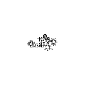 CC1CCC(C2=C(c3cc(-c4ccccc4)sc3C(=O)O)CCN(CCCc3ccccc3)C2)CC1